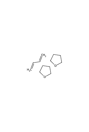 C1CCOC1.C1CCOC1.C=CC=C